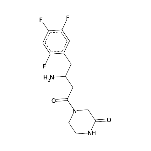 NC(CC(=O)N1CCNC(=O)C1)Cc1cc(F)c(F)cc1F